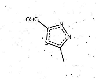 Cc1nnc([C]=O)s1